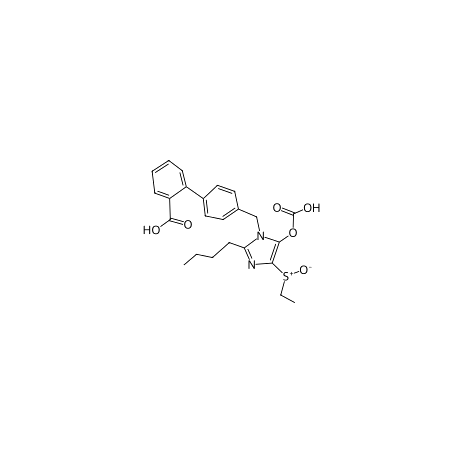 CCCCc1nc([S+]([O-])CC)c(OC(=O)O)n1Cc1ccc(-c2ccccc2C(=O)O)cc1